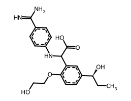 CC[C@H](O)c1ccc(OCCO)c(C(Nc2ccc(C(=N)N)cc2)C(=O)O)c1